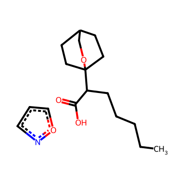 CCCCCC(C(=O)O)C12CCC(CC1)CO2.c1cnoc1